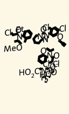 C#CCOc1cc(-n2nc3n(c2=O)CCCC3)c(Cl)cc1Cl.CC1COc2ccccc2N1C(=O)C(Cl)Cl.CCc1cccc(C)c1N(C(=O)CCl)C(C)COC.C[S+](C)C.O=C(O)CNCP(=O)([O-])O